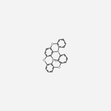 C[Si]12c3c4cccc3Oc3ccc5c(c31)N(c1ccccc1O5)c1cccc(c12)O4